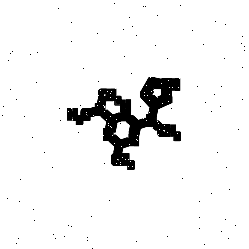 CC1N=C(N(C)C)NC(N(C)c2cc[nH]c2)=N1